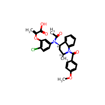 C=C(Oc1cc(N(C(C)=O)[C@@H]2C[C@H](C)N(C(=O)c3ccc(OC)cc3)c3ccccc32)ccc1Cl)C(=O)O